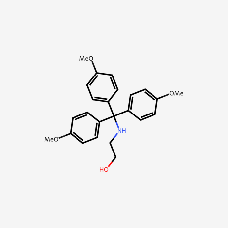 COc1ccc(C(NCCO)(c2ccc(OC)cc2)c2ccc(OC)cc2)cc1